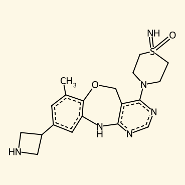 Cc1cc(C2CNC2)cc2c1OCc1c(ncnc1N1CCS(=N)(=O)CC1)N2